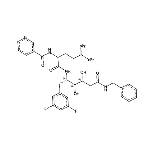 CCCC(CCC)CCC(NC(=O)c1cccnc1)C(=O)N[C@@H](Cc1cc(F)cc(F)c1)[C@@H](O)[C@H](O)CC(=O)NCc1ccccc1